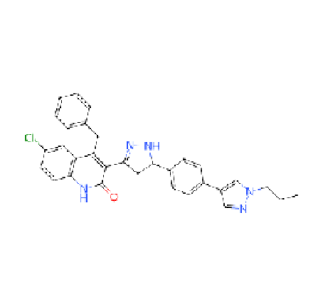 CCCn1cc(-c2ccc(C3CC(c4c(Cc5ccccc5)c5cc(Cl)ccc5[nH]c4=O)=NN3)cc2)cn1